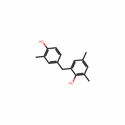 Cc1cc(C)c(O)c(Cc2ccc(O)c(C)c2)c1